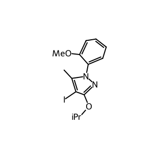 COc1ccccc1-n1nc(OC(C)C)c(I)c1C